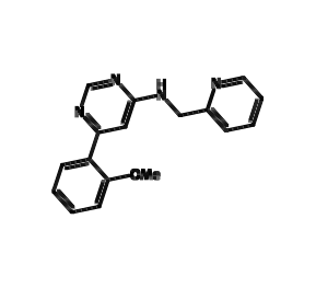 COc1ccccc1-c1cc(NCc2ccccn2)ncn1